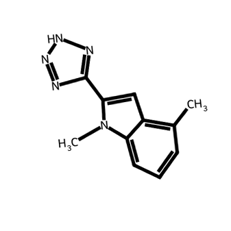 Cc1cccc2c1cc(-c1nn[nH]n1)n2C